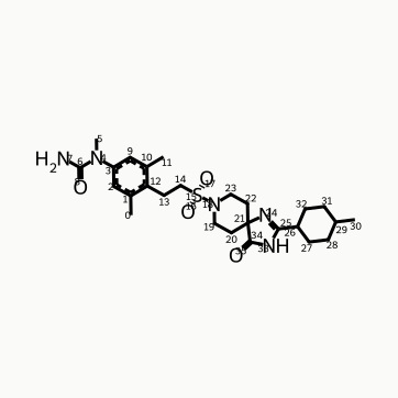 Cc1cc(N(C)C(N)=O)cc(C)c1CCS(=O)(=O)N1CCC2(CC1)N=C(C1CCC(C)CC1)NC2=O